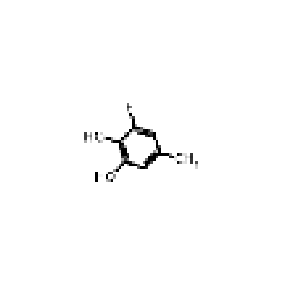 Cc1cc(O)c(O)c(F)c1